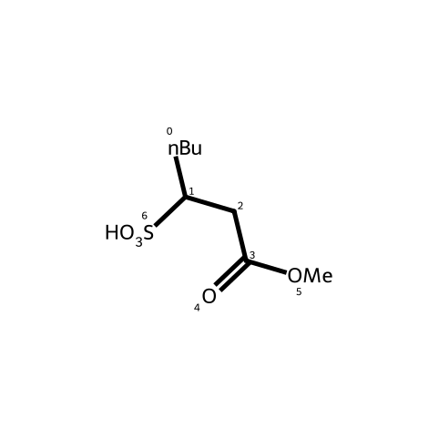 CCCCC(CC(=O)OC)S(=O)(=O)O